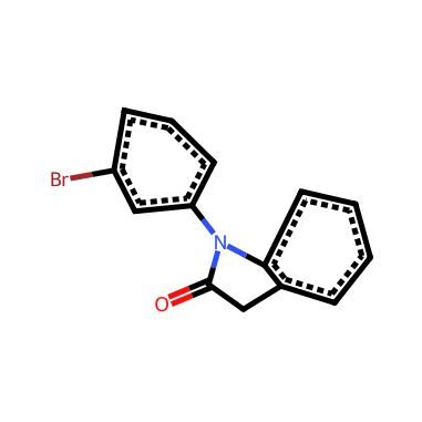 O=C1Cc2ccccc2N1c1cccc(Br)c1